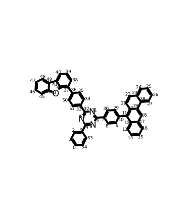 c1ccc(-c2nc(-c3ccc(-c4c5ccccc5cc5c4ccc4ccccc45)cc3)nc(-c3ccc(-c4cccc5c4oc4ccccc45)cc3)n2)cc1